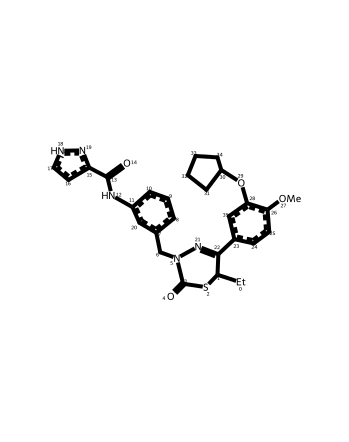 CCC1SC(=O)N(Cc2cccc(NC(=O)c3cc[nH]n3)c2)N=C1c1ccc(OC)c(OC2CCCC2)c1